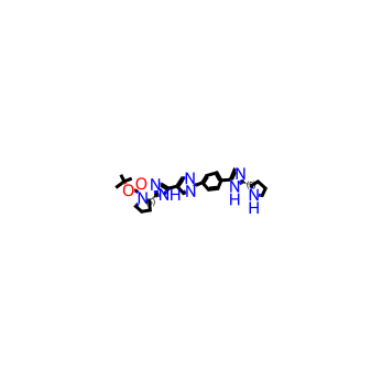 CC(C)(C)OC(=O)N1CCC[C@H]1c1ncc(-c2cnc(-c3ccc(-c4cnc([C@@H]5CCCN5)[nH]4)cc3)nc2)[nH]1